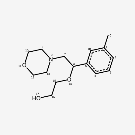 Cc1cccc(C(CN2CCOCC2)OCCO)c1